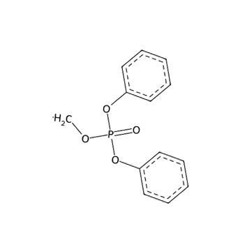 [CH2]OP(=O)(Oc1ccccc1)Oc1ccccc1